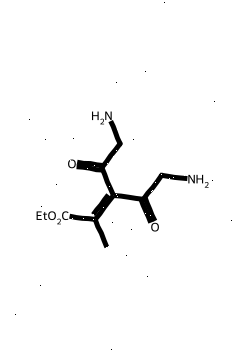 CCOC(=O)C(C)=C(C(=O)CN)C(=O)CN